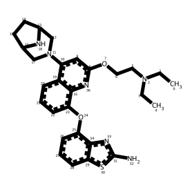 CCN(CC)CCOc1cc(N2CC3CCC(C2)N3)c2cccc(Oc3cccc4sc(N)nc34)c2n1